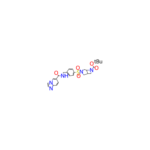 CC(C)(C)OC(=O)N1CC2CN(S(=O)(=O)c3ccc(CNC(=O)c4ccc5nccn5c4)cc3)CC21